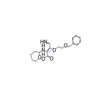 N=C/C(OCCOCc1ccccc1)=C(\NC1CCCCO1)C(=O)O